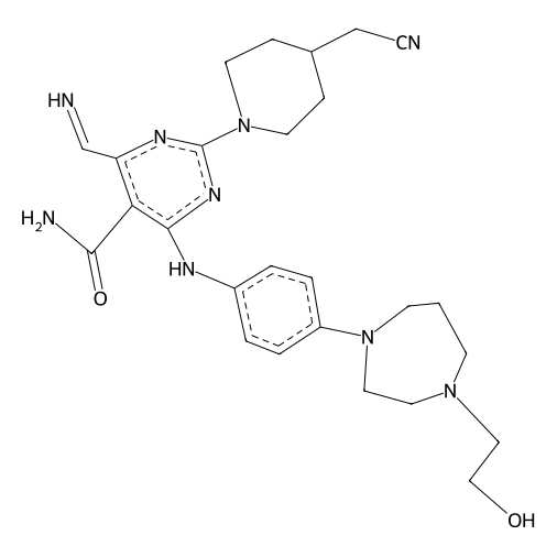 N#CCC1CCN(c2nc(C=N)c(C(N)=O)c(Nc3ccc(N4CCCN(CCO)CC4)cc3)n2)CC1